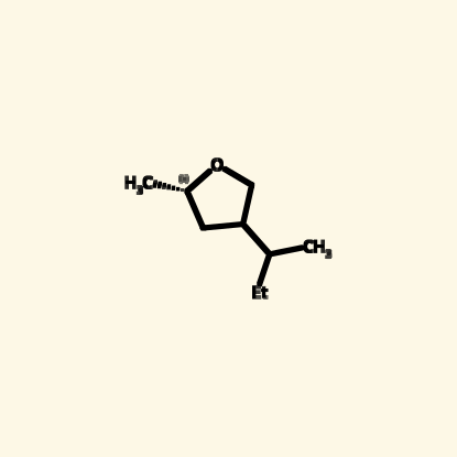 CCC(C)C1CO[C@@H](C)C1